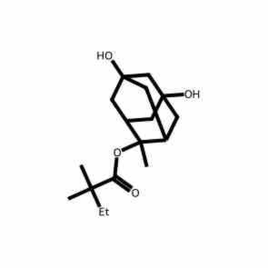 CCC(C)(C)C(=O)OC1(C)C2CC3(O)CC1CC(O)(C2)C3